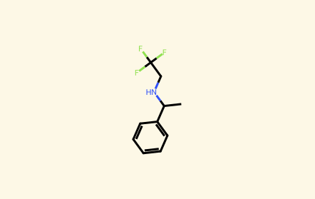 CC(NCC(F)(F)F)c1ccccc1